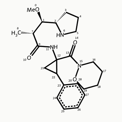 CO[C@@H]([C@@H]1CCCN1)[C@@H](C)C(=O)NC1(C(=O)N2CCCCO2)CC1c1ccccc1